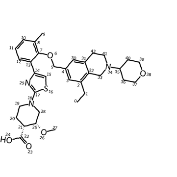 CCc1cc(COc2c(C)cccc2-c2csc(N3CC[C@@H](C(=O)O)[C@@H](OC)C3)n2)cc2c1CN(C1CCOCC1)CC2